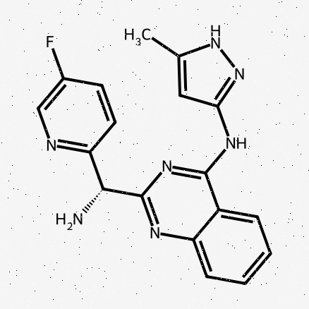 Cc1cc(Nc2nc([C@H](N)c3ccc(F)cn3)nc3ccccc23)n[nH]1